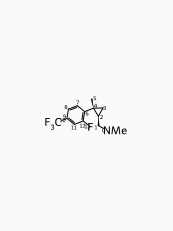 CNC[C@@H]1C[C@@]1(C)c1ccc(C(F)(F)F)cc1F